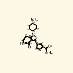 NC(=O)c1cc(-c2nn([C@H]3CC[C@@H](N)CC3)c3cc[nH]c(=O)c23)cs1